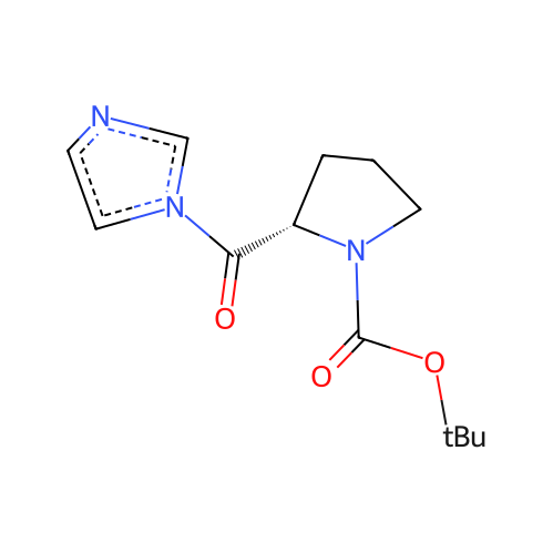 CC(C)(C)OC(=O)N1CCC[C@H]1C(=O)n1ccnc1